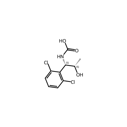 C[C@H](O)[C@@H](NC(=O)O)c1c(Cl)cccc1Cl